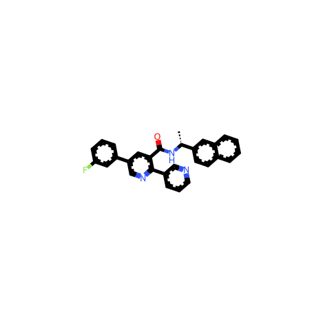 C[C@@H](NC(=O)c1cc(-c2cccc(F)c2)cnc1-c1cccnc1)c1ccc2ccccc2c1